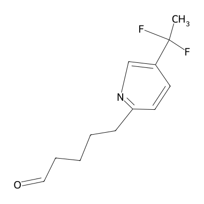 CC(F)(F)c1ccc(CCCCC=O)nc1